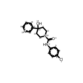 O=C(Nc1ccc(Cl)cc1)N1CCC(O)(c2cccnc2)CC1